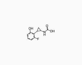 O=C(O)NC1CC1c1c(O)cccc1F